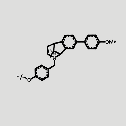 COc1ccc(-c2ccc3c(c2)C2[C@@H](C)C3CCN2Cc2ccc(OC(F)(F)F)cc2)cc1